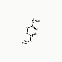 COC1=CC=C(CC#N)CC1